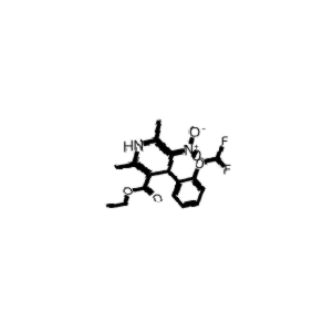 CCOC(=O)C1=C(C)NC(C)=C([N+](=O)[O-])C1c1ccccc1OC(F)F